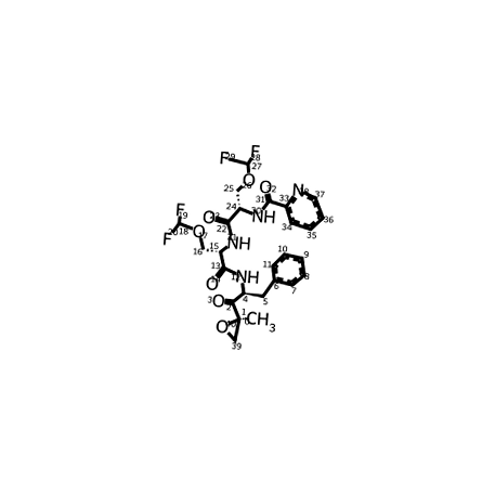 C[C@]1(C(=O)[C@H](Cc2ccccc2)NC(=O)[C@H](COC(F)F)NC(=O)[C@H](COC(F)F)NC(=O)c2ccccn2)CO1